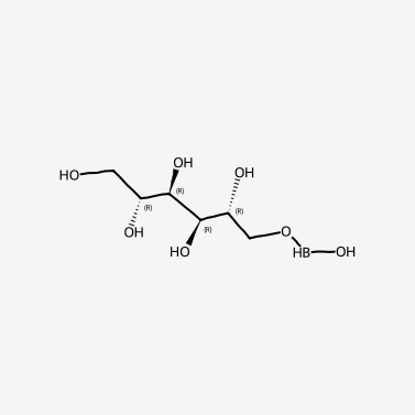 OBOC[C@@H](O)[C@@H](O)[C@H](O)[C@H](O)CO